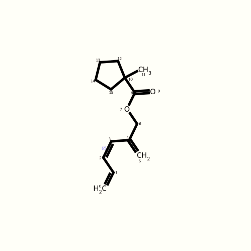 C=C/C=C\C(=C)COC(=O)C1(C)CCCC1